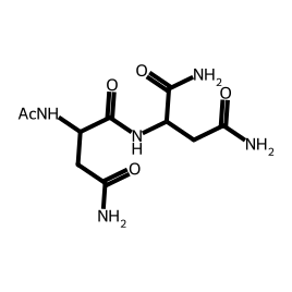 CC(=O)NC(CC(N)=O)C(=O)NC(CC(N)=O)C(N)=O